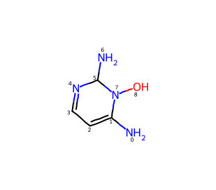 NC1=CC=NC(N)N1O